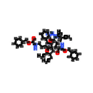 CCC(CC)CC(/C=C/c1ccccc1)(C(=O)CCCNC(=O)OCc1ccccc1)[C@@H](C(=O)NOCc1ccccc1)[C@@H](CC(C)C)C(=O)NN